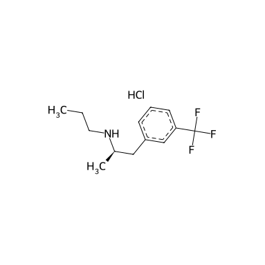 CCCN[C@H](C)Cc1cccc(C(F)(F)F)c1.Cl